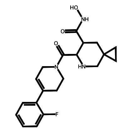 O=C(NO)C1CC2(CC2)CNC1C(=O)N1CC=C(c2ccccc2F)CC1